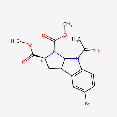 COC(=O)[C@@H]1CC2c3cc(Br)ccc3N(C(C)=O)C2N1C(=O)OC